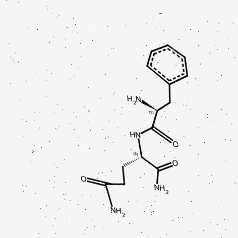 NC(=O)CC[C@H](NC(=O)[C@@H](N)Cc1ccccc1)C(N)=O